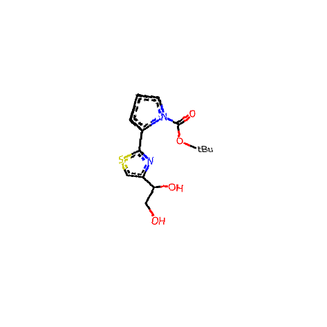 CC(C)(C)OC(=O)n1cccc1-c1nc(C(O)CO)cs1